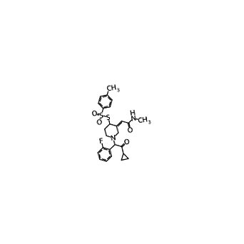 CNC(=O)C=C1CN(C(C(=O)C2CC2)c2ccccc2F)CCC1SS(=O)(=O)c1ccc(C)cc1